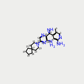 Cc1cnc(N)cc1C(=N)c1ncc(N2CCC3(CCCC3)CC2)nc1N